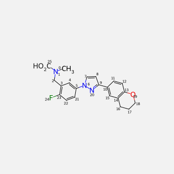 CN(Cc1cc(-n2ccc(-c3ccc4c(c3)CCCO4)n2)ccc1F)C(=O)O